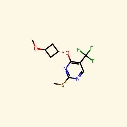 CO[C@H]1C[C@H](Oc2nc(SC)ncc2C(F)(F)F)C1